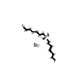 CCCCCCC[P+](C)(C)CCCCCCC.[Br-]